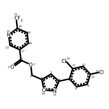 O=C(OCc1cc(-c2ccc(Cl)cc2Cl)no1)c1ccc(C(F)(F)F)nc1